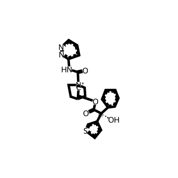 O=C(OC1C[N+]2(C(=O)Nc3cccnn3)CCC1CC2)[C@@](O)(c1ccccc1)c1ccsc1